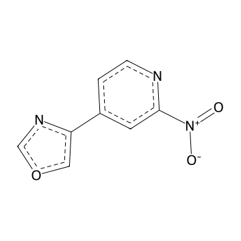 O=[N+]([O-])c1cc(-c2cocn2)ccn1